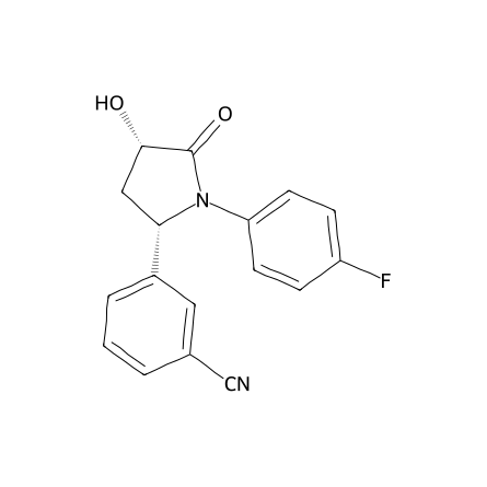 N#Cc1cccc([C@@H]2C[C@H](O)C(=O)N2c2ccc(F)cc2)c1